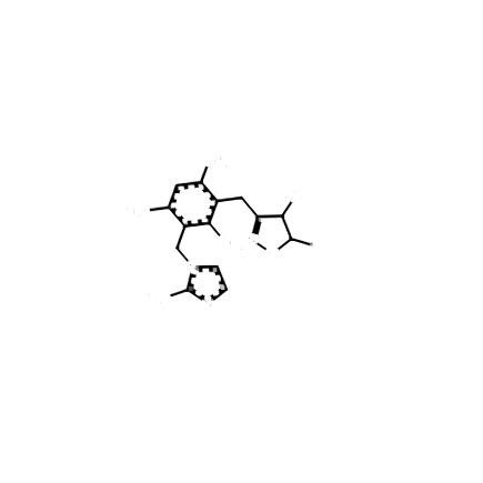 CCC1ON=C(Cc2c(C)cc(C)c(Cn3ccnc3C)c2C)C1CC